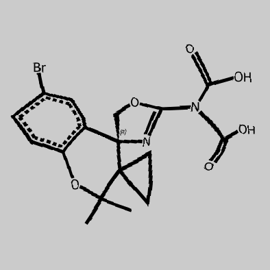 CC1(C)Oc2ccc(Br)cc2[C@@]2(COC(N(C(=O)O)C(=O)O)=N2)C12CC2